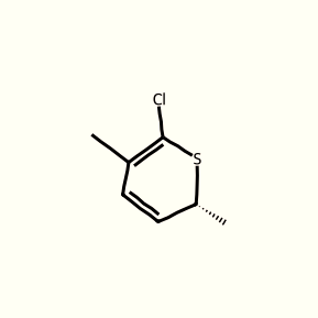 CC1=C(Cl)S[C@H](C)C=C1